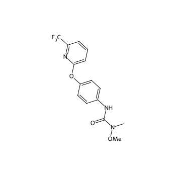 CON(C)C(=O)Nc1ccc(Oc2cccc(C(F)(F)F)n2)cc1